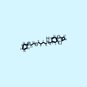 Clc1cc(CNCCCCOCCOc2ccccc2)ccc1OC1CCC1